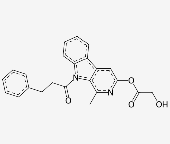 Cc1nc(OC(=O)CO)cc2c3ccccc3n(C(=O)CCc3ccccc3)c12